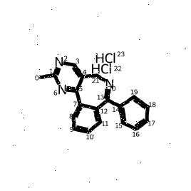 Cc1ncc2c(n1)-c1ccccc1C(c1ccccc1)=NC2.Cl.Cl